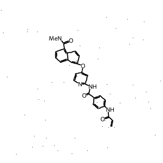 C=CC(=O)Nc1ccc(C(=O)Nc2cc(Oc3ccc4c(C(=O)NC)cccc4c3)ccn2)cc1